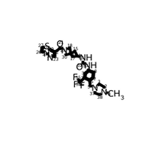 CN1CCN(Cc2ccc(NC(=O)NC3CC4(C3)CN(C(=O)c3cnn5ccsc35)C4)cc2C(F)(F)F)CC1